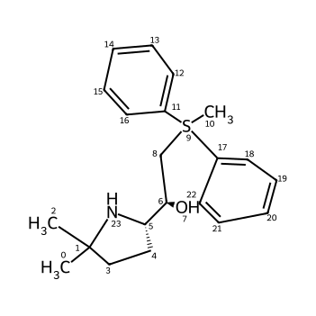 CC1(C)CC[C@@H]([C@H](O)CS(C)(c2ccccc2)c2ccccc2)N1